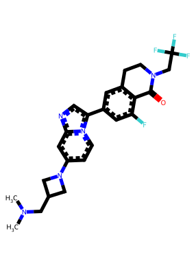 CN(C)CC1CN(c2ccn3c(-c4cc(F)c5c(c4)CCN(CC(F)(F)F)C5=O)cnc3c2)C1